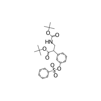 CC(C)(C)OC(=O)NCC(C(=O)OC(C)(C)C)c1cccc(OS(=O)(=O)c2ccccc2)c1